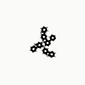 c1ccc(-c2ccc3c4c2-c2cc5c(cc2B4c2cc4sc6ccccc6c4cc2N3c2ccc3sc4ccccc4c3c2)sc2ccccc25)cc1